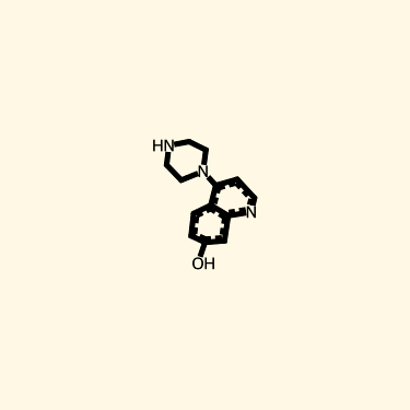 Oc1ccc2c(N3CCNCC3)ccnc2c1